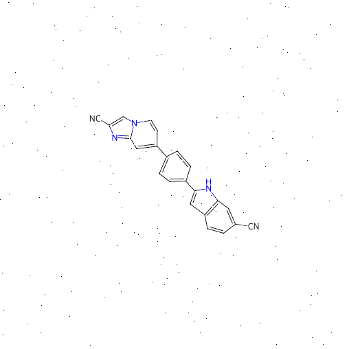 N#Cc1ccc2cc(-c3ccc(-c4ccn5cc(C#N)nc5c4)cc3)[nH]c2c1